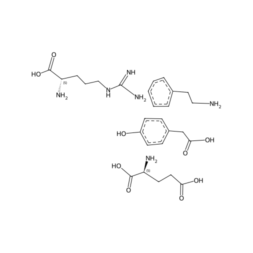 N=C(N)NCCC[C@H](N)C(=O)O.NCCc1ccccc1.N[C@@H](CCC(=O)O)C(=O)O.O=C(O)Cc1ccc(O)cc1